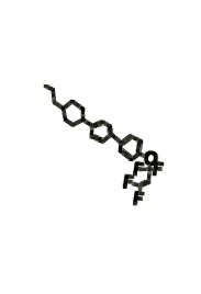 CCCC1CCC(c2ccc(-c3ccc(OC(F)(F)C=C(F)F)cc3)cc2)CC1